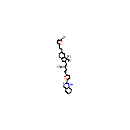 CCCCC(/C=C/c1ccc(C2=NC=C3C=CCCC3N2)o1)=C\C1=CC2=C(C=C(/C=C/c3ccc(C(C)C)o3)CC2)C1(CC)CC